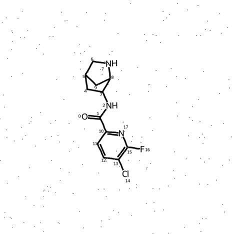 O=C(NC1CC2CNC1C2)c1ccc(Cl)c(F)n1